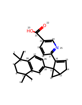 CC1(C)CCC(C)(C)c2cc(C34CC3CC=C4c3ccc(C(=O)O)cn3)ccc21